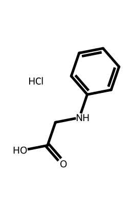 Cl.O=C(O)CNc1ccccc1